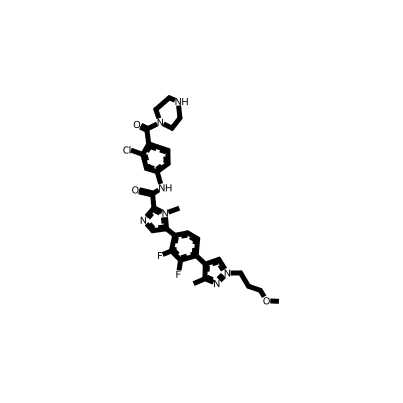 COCCCn1cc(-c2ccc(-c3cnc(C(=O)Nc4ccc(C(=O)N5CCNCC5)c(Cl)c4)n3C)c(F)c2F)c(C)n1